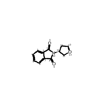 O=C1c2ccccc2C(=O)N1[C@H]1CCOC1